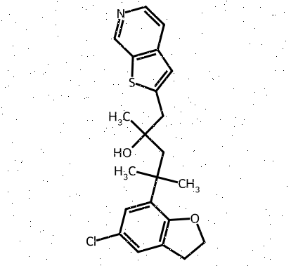 CC(O)(Cc1cc2ccncc2s1)CC(C)(C)c1cc(Cl)cc2c1OCC2